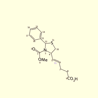 COC(=O)N1C(/C=C/CCC(=O)O)CSC1c1ccccc1